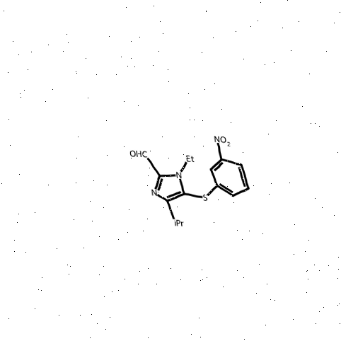 CCn1c(C=O)nc(C(C)C)c1Sc1cccc([N+](=O)[O-])c1